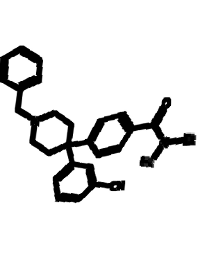 CCN(CC)C(=O)c1ccc(C2(c3cccc(C#N)c3)CCN(Cc3ccccc3)CC2)cc1